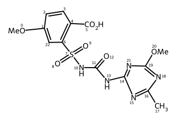 COc1ccc(C(=O)O)c(S(=O)(=O)NC(=O)Nc2nc(C)nc(OC)n2)c1